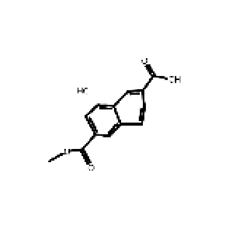 COC(=O)c1ccc2cc(C(=O)O)ccc2c1.Cl